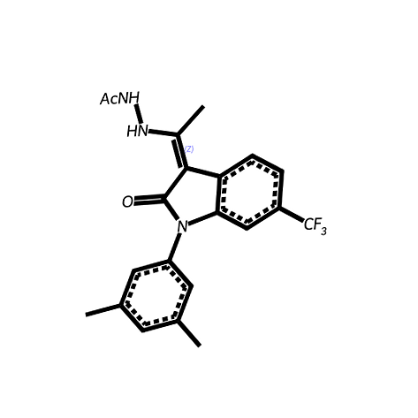 CC(=O)NN/C(C)=C1\C(=O)N(c2cc(C)cc(C)c2)c2cc(C(F)(F)F)ccc21